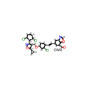 COC(=O)c1cc(C#Cc2ccc(OCc3c(-c4c(Cl)cccc4Cl)noc3C3CC3)cc2Cl)cc2ncoc12